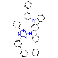 c1ccc(-c2cccc(-c3cccc(-c4nc(-c5ccccc5)nc(-n5c6ccccc6c6cc7c8ccccc8n(-c8cccc(-c9ccccc9)c8)c7cc65)n4)c3)c2)cc1